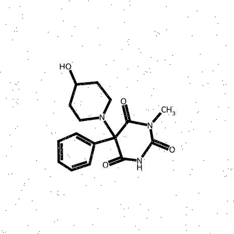 CN1C(=O)NC(=O)C(c2ccccc2)(N2CCC(O)CC2)C1=O